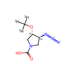 [2H]C([2H])([2H])O[C@H]1CN(C(=O)O)C[C@@H]1N=[N+]=[N-]